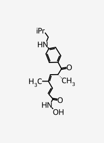 CC(C=CC(=O)NO)=C[C@@H](C)C(=O)c1ccc(NCC(C)C)cc1